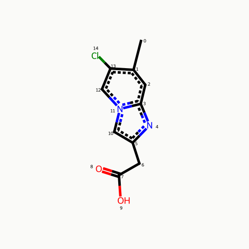 Cc1cc2nc(CC(=O)O)cn2cc1Cl